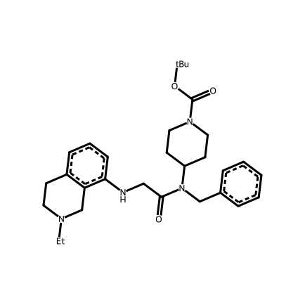 CCN1CCc2cccc(NCC(=O)N(Cc3ccccc3)C3CCN(C(=O)OC(C)(C)C)CC3)c2C1